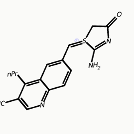 CCCc1c(C#N)cnc2ccc(/C=S3/CC(=O)N=C3N)cc12